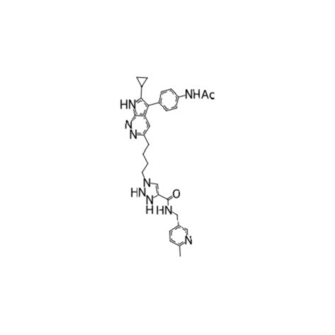 CC(=O)Nc1ccc(-c2c(C3CC3)[nH]c3nnc(CCCCN4C=C(C(=O)NCc5ccc(C)nc5)NN4)cc23)cc1